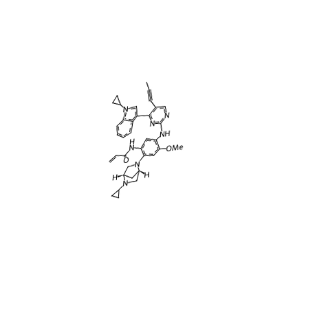 C=CC(=O)Nc1cc(Nc2ncc(C#CC)c(-c3cn(C4CC4)c4ccccc34)n2)c(OC)cc1N1C[C@@H]2C[C@H]1CN2C1CC1